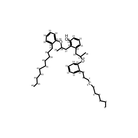 CCCCCCCCCCc1ccccc1OC(C)Cc1cccc(O)c1CC(C)Oc1ccccc1CCCCCCCCCC